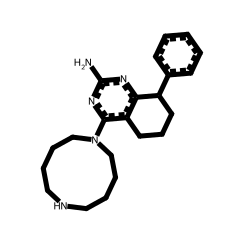 Nc1nc2c(c(N3CCCCNCCCC3)n1)CCCC2c1ccccc1